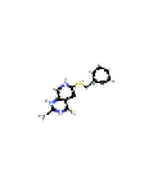 Cc1nc(Cl)c2cc(SCc3ccccc3)ncc2n1